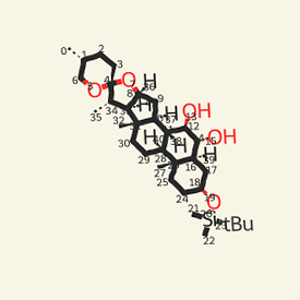 C[C@@H]1CC[C@@]2(OC1)O[C@H]1C[C@H]3[C@@H]4[C@@H](O)[C@H](O)[C@H]5C[C@@H](O[Si](C)(C)C(C)(C)C)CC[C@]5(C)[C@H]4CC[C@]3(C)[C@H]1[C@@H]2C